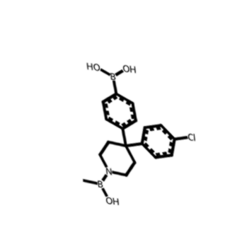 CB(O)N1CCC(c2ccc(Cl)cc2)(c2ccc(B(O)O)cc2)CC1